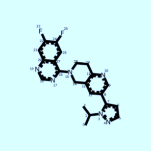 CC(C)n1nccc1-c1cnc2c(c1)CN(c1ncnc3cc(F)c(F)cc13)CC2